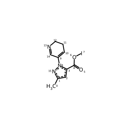 Cc1cc(C(=O)OI)n(C2=CCCN=C2)n1